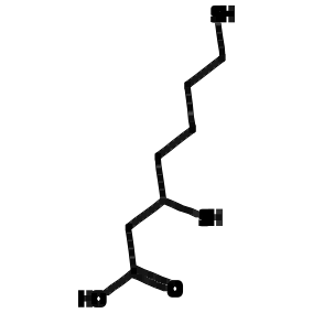 O=C(O)CC(S)CCCCS